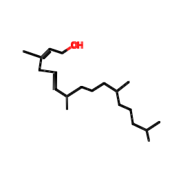 CC(=CCO)CC=CC(C)CCCC(C)CCCC(C)C